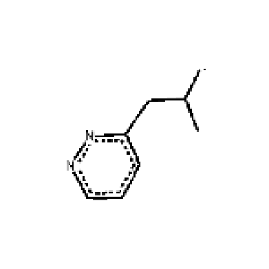 [CH2]C(C)Cc1cccnn1